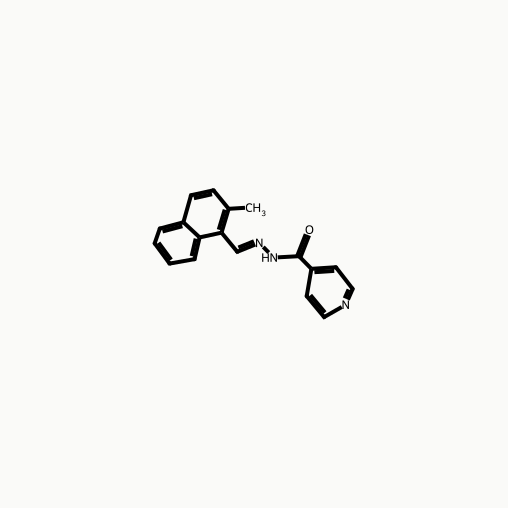 Cc1ccc2ccccc2c1/C=N/NC(=O)c1ccncc1